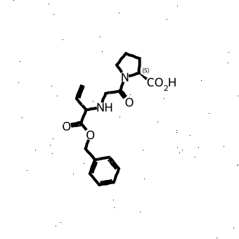 C=CC(NCC(=O)N1CCC[C@H]1C(=O)O)C(=O)OCc1ccccc1